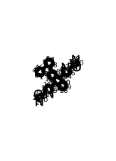 c1ccc(-c2ccccc2-c2ccc3c(-c4ccc(-c5cnco5)nc4)c4ccccc4c(-c4ccc(-c5cnco5)nc4)c3c2)cc1